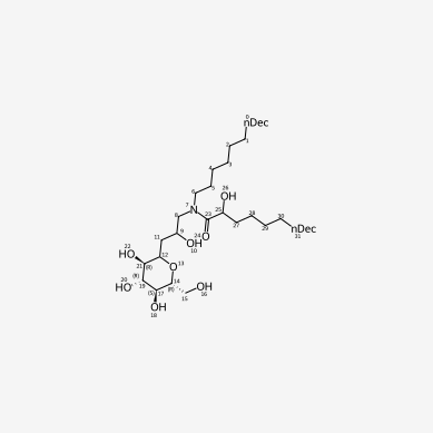 CCCCCCCCCCCCCCCCN(CC(O)CC1O[C@H](CO)[C@@H](O)[C@H](O)[C@H]1O)C(=O)C(O)CCCCCCCCCCCCCC